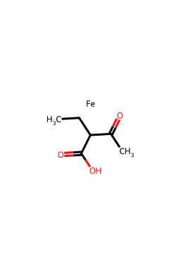 CCC(C(C)=O)C(=O)O.[Fe]